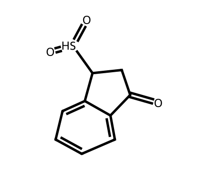 O=C1CC([SH](=O)=O)c2ccccc21